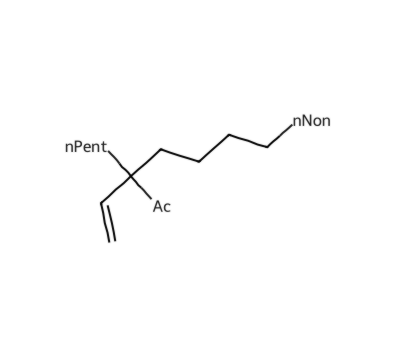 C=CC(CCCCC)(CCCCCCCCCCCCC)C(C)=O